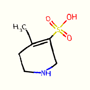 CC1=C(S(=O)(=O)O)CNCC1